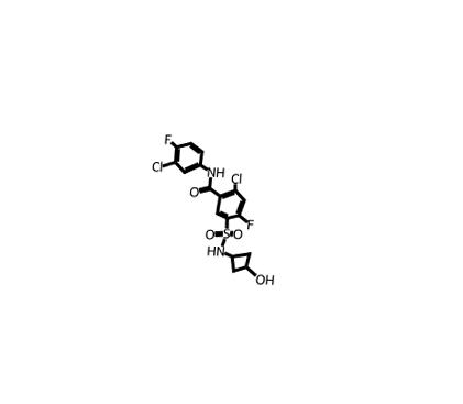 O=C(Nc1ccc(F)c(Cl)c1)c1cc(S(=O)(=O)NC2CC(O)C2)c(F)cc1Cl